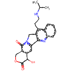 CC(C)NCCc1c2c(nc3ccccc13)-c1cc3c(c(=O)n1C2)COC(=O)C3O